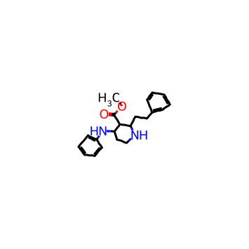 COC(=O)C1C(CCc2ccccc2)NCCC1Nc1ccccc1